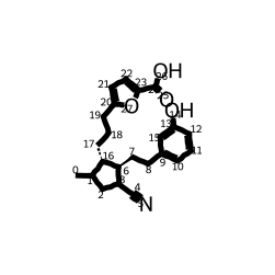 CC1CC(C#N)[C@H](CCc2cccc(O)c2)[C@H]1CCCc1ccc(C(=O)O)o1